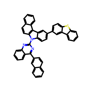 c1ccc2cc(-c3nc(-n4c5ccc(-c6ccc7sc8ccccc8c7c6)cc5c5c6ccccc6ccc54)nc4ccccc34)ccc2c1